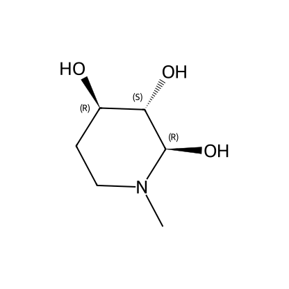 CN1CC[C@@H](O)[C@H](O)[C@H]1O